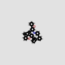 c1ccc(-c2cccc(N(c3cc(C45CC6CC(CC(C6)C4)C5)c4c(c3)C3(c5ccccc5O4)c4ccccc4-c4ccccc43)c3ccc4c(c3)oc3ccccc34)c2)cc1